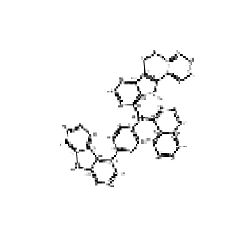 c1ccc2c(c1)CCc1c-2oc2c(N(c3ccc(-c4cccc5oc6ccccc6c45)cc3)c3cccc4ccccc34)cccc12